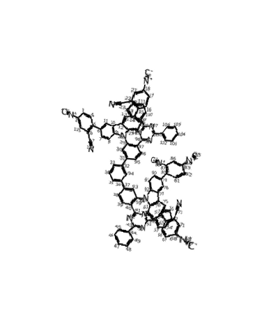 [C-]#[N+]c1ccc(-c2ccc3c(c2)c2cc(-c4ccc([N+]#[C-])cc4C#N)ccc2n3-c2cc(-c3cccc(-c4ccc(-c5nc(-c6ccccc6)nc(-c6ccccc6)n5)c(-n5c6ccc(-c7ccc([N+]#[C-])cc7C#N)cc6c6cc(-c7ccc([N+]#[C-])cc7[N+]#[C-])ccc65)c4)c3)ccc2-c2nc(-c3ccccc3)nc(-c3ccccc3)n2)c(C#N)c1